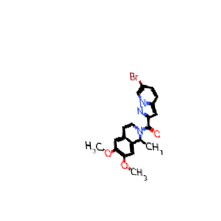 COc1cc2c(cc1OC)C(C)N(C(=O)c1cc3ccc(Br)cn3n1)CC2